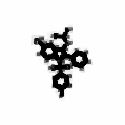 Cc1ccc(S(=O)(=O)n2c(-c3ccccc3)c(SC(F)F)c3cc(Cl)ccc32)cc1